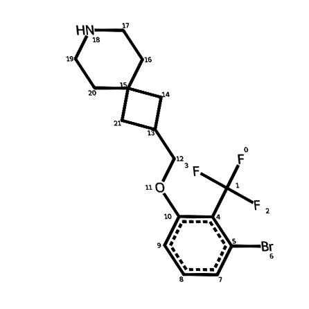 FC(F)(F)c1c(Br)cccc1OCC1CC2(CCNCC2)C1